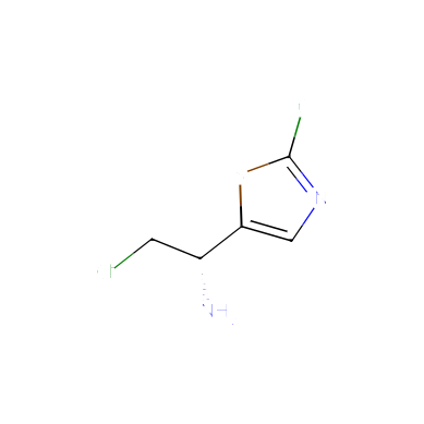 N[C@H](CCl)c1cnc(Cl)s1